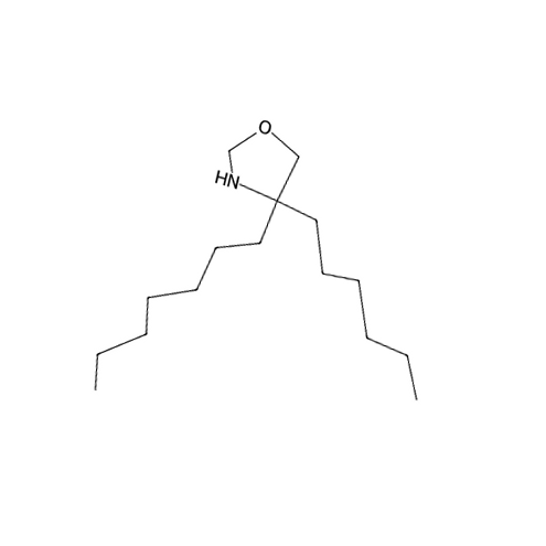 CCCCCCCC1(CCCCCC)COCN1